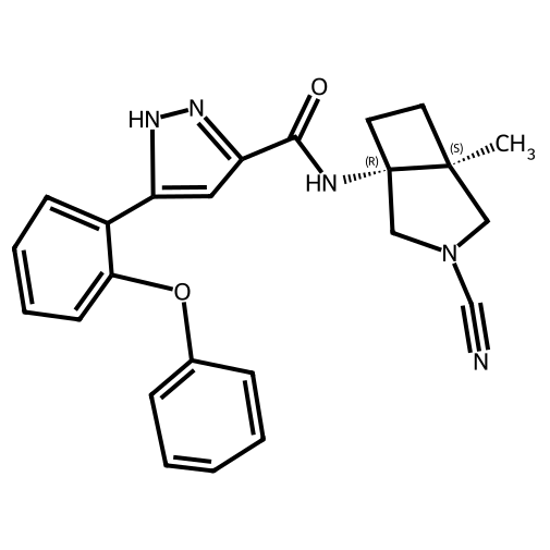 C[C@@]12CC[C@]1(NC(=O)c1cc(-c3ccccc3Oc3ccccc3)[nH]n1)CN(C#N)C2